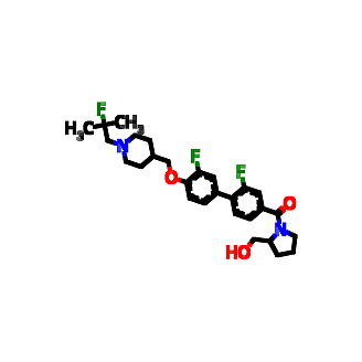 CC(C)(F)CN1CCC(COc2ccc(-c3ccc(C(=O)N4CCCC4CO)cc3F)cc2F)CC1